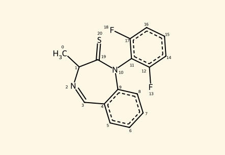 CC1N=Cc2ccccc2N(c2c(F)cccc2F)C1=S